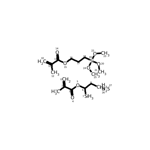 C=C(C)C(=O)OC([SiH3])CC.C=C(C)C(=O)OCCC[Si](OC)(OC)OC.S.S